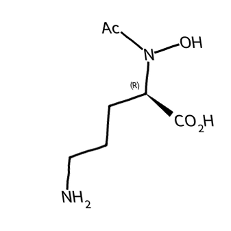 CC(=O)N(O)[C@H](CCCN)C(=O)O